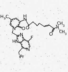 Cc1cc(NC(=O)CCC/C=C/C(=O)N(C)C)c(=O)n(Cc2nc3c(F)cnc(CC(C)C)c3[nH]2)c1